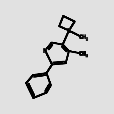 Cc1cc(-c2ccccc2)ncc1[Si]1(C)CCC1